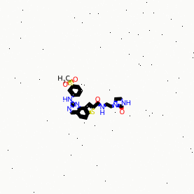 CS(=O)(=O)c1cccc(Nc2ncc3ccc4sc(C(=O)NCCN5CCNC5=O)cc4c3n2)c1